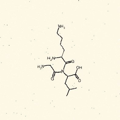 CC(C)CC(C(=O)O)N(C(=O)CN)C(=O)C(N)CCCCN